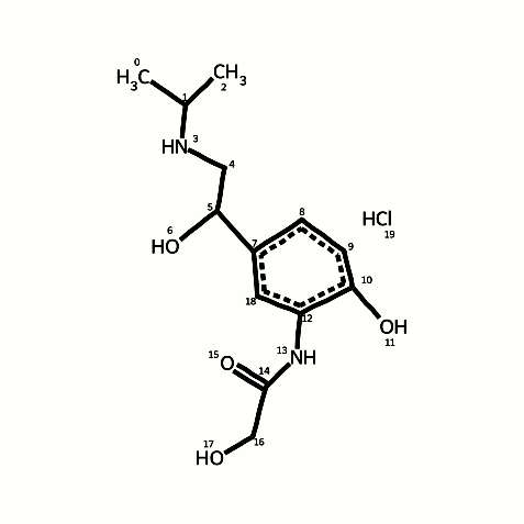 CC(C)NCC(O)c1ccc(O)c(NC(=O)CO)c1.Cl